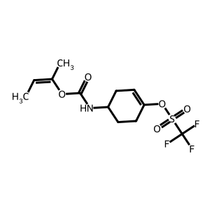 C/C=C(/C)OC(=O)NC1CC=C(OS(=O)(=O)C(F)(F)F)CC1